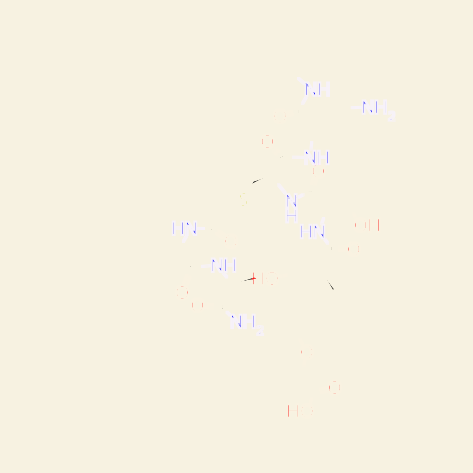 CCNC(=O)[C@H](CCN)NC(=O)[C@H](CSCC(=O)N[C@@H](CCc1ccccc1)C(=O)N[C@@H](Cc1ccc(OCC(=O)O)cc1)C(N)=O)NC(=O)[C@H](CO)NC(=O)[C@@H](C)C(C)(C)O